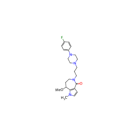 COC1CCN(CCCN2CCN(c3ccc(F)cc3)CC2)C(=O)c2ccn(C)c21